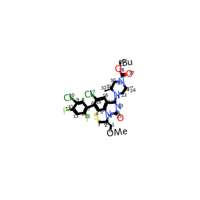 COC[C@H]1CSc2c(-c3cc(Cl)c(F)cc3F)c(Cl)cc3c(N4C[C@@H](C)N(C(=O)OC(C)(C)C)C[C@@H]4C)nc(=O)n1c23